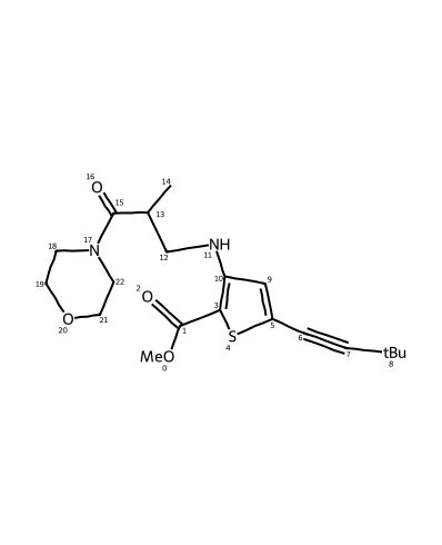 COC(=O)c1sc(C#CC(C)(C)C)cc1NCC(C)C(=O)N1CCOCC1